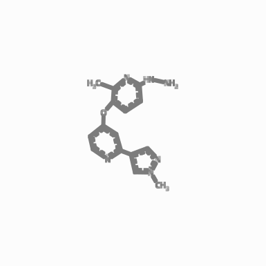 Cc1nc(NN)ccc1Oc1ccnc(-c2cnn(C)c2)c1